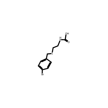 O=C(O)NCCSCc1ccc(Br)cc1